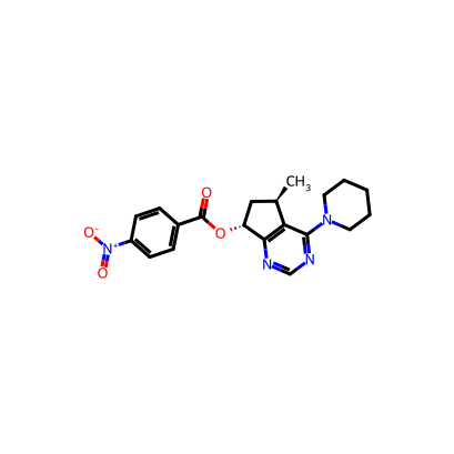 C[C@@H]1C[C@@H](OC(=O)c2ccc([N+](=O)[O-])cc2)c2ncnc(N3CCCCC3)c21